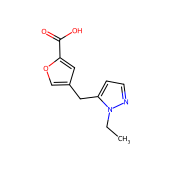 CCn1nccc1Cc1coc(C(=O)O)c1